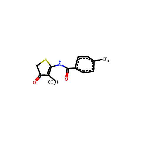 O=C(O)C1=C(NC(=O)c2ccc(C(F)(F)F)cc2)SCC1=O